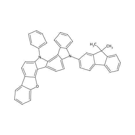 CC1(C)c2ccccc2-c2ccc(-n3c4ccccc4c4c3ccc3c5c6oc7ccccc7c6ccc5n(-c5ccccc5)c34)cc21